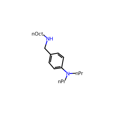 CCCCCCCCNCc1ccc(N(CCC)CCC)cc1